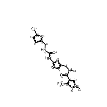 CN(Cc1csc(NC(=O)NCc2ccc(Cl)s2)n1)C(=O)c1cn(C)nc1C(F)(F)F